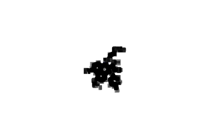 COCCO/N=C(\C1=C(O)C(=O)N(c2ccc(C)nn2)C1c1ccc(OC(F)(F)F)cc1)c1ccc(C(C)C)cc1